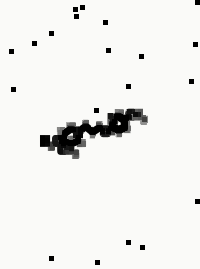 Cc1ccc(OCCCN2CCC(C)(C)CC2)nc1